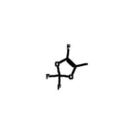 CC1=C(F)OC(F)(F)O1